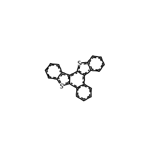 c1ccc2c(c1)sc1c2c2ccccc2c2sc3ccccc3c21